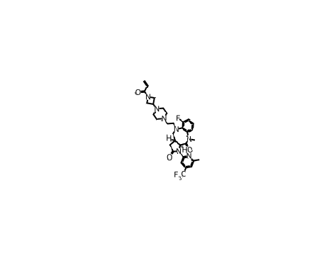 C=CC(=O)N1CC(N2CCN(CCN3C[C@H]4CC(=O)N(c5cc(C(F)(F)F)cc(C)n5)[C@@H]4C(=O)N(C)c4cccc(F)c43)CC2)C1